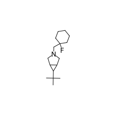 CC(C)(C)C1C2CN(CC3(F)CCCCC3)CC21